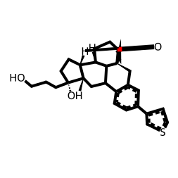 C[C@]12CC3c4ccc(-c5ccsc5)cc4C[C@]45CCC(=O)C=C4CC[C@H](C35)[C@H]1CC[C@]2(O)CCCO